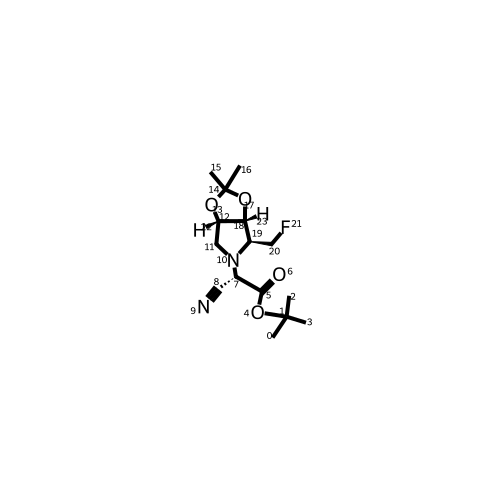 CC(C)(C)OC(=O)[C@H](C#N)N1C[C@@H]2OC(C)(C)O[C@@H]2[C@H]1CF